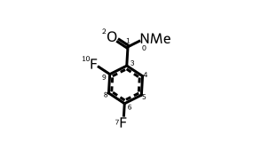 [CH2]NC(=O)c1ccc(F)cc1F